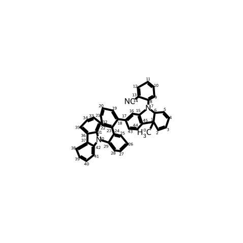 CC12C=CC=CC1N(c1ccccc1C#N)c1cc(-c3ccccc3-c3ccccc3-n3c4ccccc4c4ccccc43)ccc12